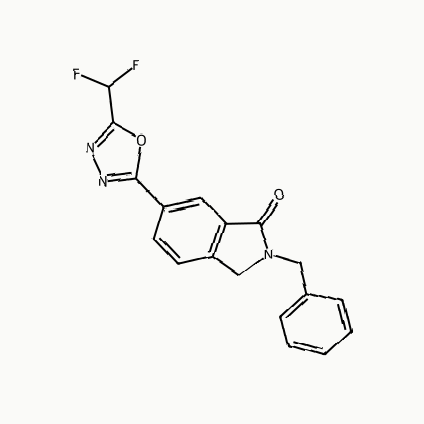 O=C1c2cc(-c3nnc(C(F)F)o3)ccc2CN1Cc1ccccc1